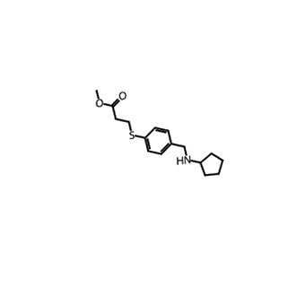 COC(=O)CCSc1ccc(CNC2CCCC2)cc1